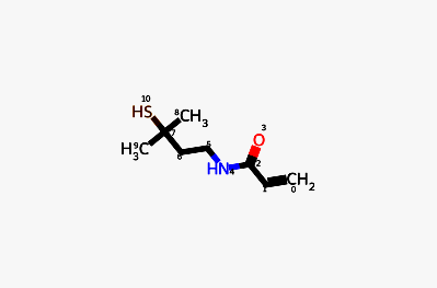 C=CC(=O)NCCC(C)(C)S